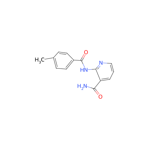 Cc1ccc(C(=O)Nc2ncccc2C(N)=O)cc1